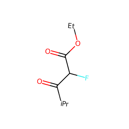 CCOC(=O)C(F)C(=O)C(C)C